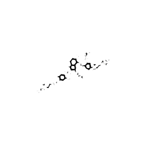 COc1cc(SOOCCS(=O)OOO)c(C)cc1N=Nc1c(SOOO)cc2c(N=Nc3ccc(S(=O)(=O)CCOS(=O)(=O)O)cc3SOOO)c(N)ccc2c1O